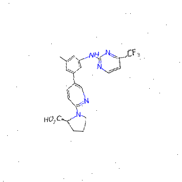 Cc1cc(Nc2nccc(C(F)(F)F)n2)cc(-c2ccc(N3CCC[C@H]3C(=O)O)nc2)c1